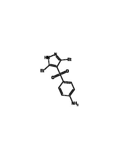 CCc1n[nH]c(CC)c1S(=O)(=O)c1ccc(N)cc1